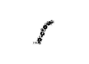 O=C(O)c1ccc(OCC2CCN(C(=O)Oc3ccc(Oc4ccc(C(F)(F)F)cn4)cc3)CC2)cc1